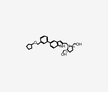 OC[C@@H]1CC[C@H](CO)N1Cc1cc2cc(-c3cccc(COC4CCCC4)c3)ccc2[nH]1